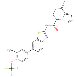 Cc1cc(-c2ccc3nc(NC(=O)C4CCC(=O)c5cccn54)sc3c2)ccc1OC(F)(F)F